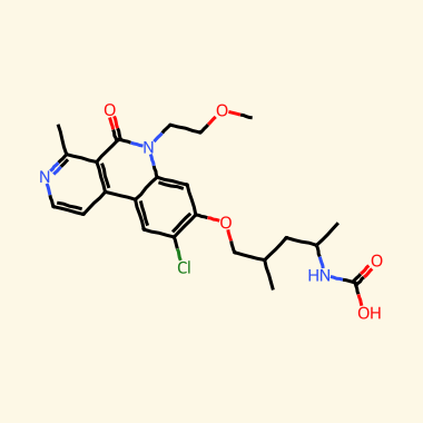 COCCn1c(=O)c2c(C)nccc2c2cc(Cl)c(OCC(C)CC(C)NC(=O)O)cc21